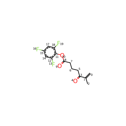 C=C(C)C(=O)CCCC(=O)Oc1c(F)cc(F)cc1F